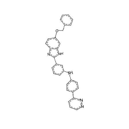 c1ccc(COc2ccc3nc(-c4cccc(Nc5ccc(-c6cccnn6)cc5)c4)[nH]c3c2)cc1